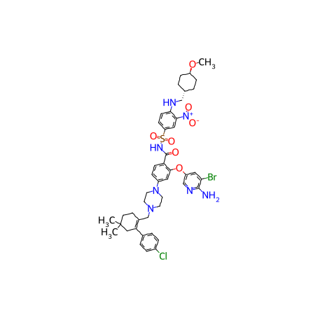 CO[C@H]1CC[C@H](CNc2ccc(S(=O)(=O)NC(=O)c3ccc(N4CCN(CC5=C(c6ccc(Cl)cc6)CC(C)(C)CC5)CC4)cc3Oc3cnc(N)c(Br)c3)cc2[N+](=O)[O-])CC1